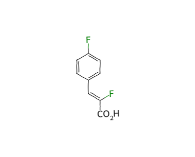 O=C(O)/C(F)=C/c1ccc(F)cc1